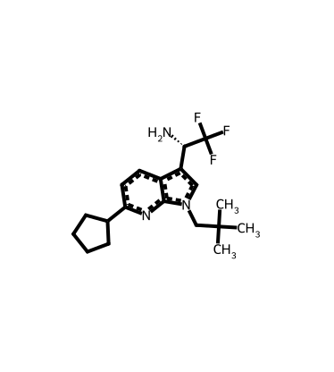 CC(C)(C)Cn1cc([C@H](N)C(F)(F)F)c2ccc(C3CCCC3)nc21